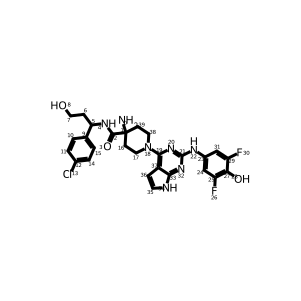 NC1(C(=O)NC(CCO)c2ccc(Cl)cc2)CCN(c2nc(Nc3cc(F)c(O)c(F)c3)nc3[nH]ccc23)CC1